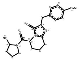 COc1ccc(Cn2nc3n(c2=O)[C@H](C(=O)N2CCCC2C#N)CCC3)cn1